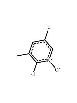 Cc1cc(F)c[n+]([O-])c1Cl